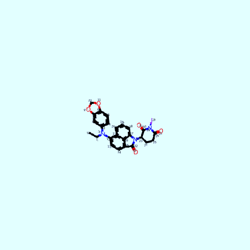 CCN(c1ccc2c(c1)OCO2)c1ccc2c3c(cccc13)N(C1CCC(=O)N(I)C1=O)C2=O